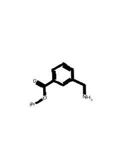 CC(C)OC(=O)c1cccc(CN)c1